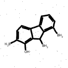 Bc1ccc2c(c1O)C(B)c1c(B)cccc1-2